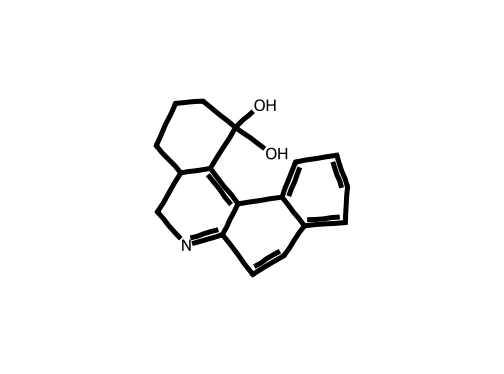 OC1(O)CCCC2CN=c3ccc4ccccc4c3=C21